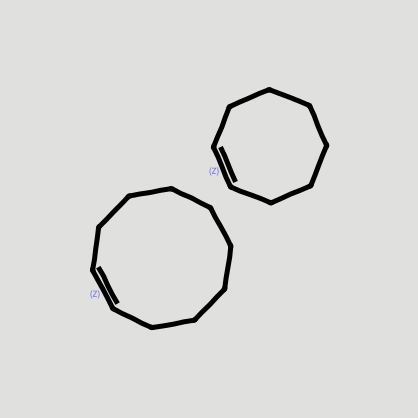 C1=C\CCCCCC/1.C1=C\CCCCCCCC/1